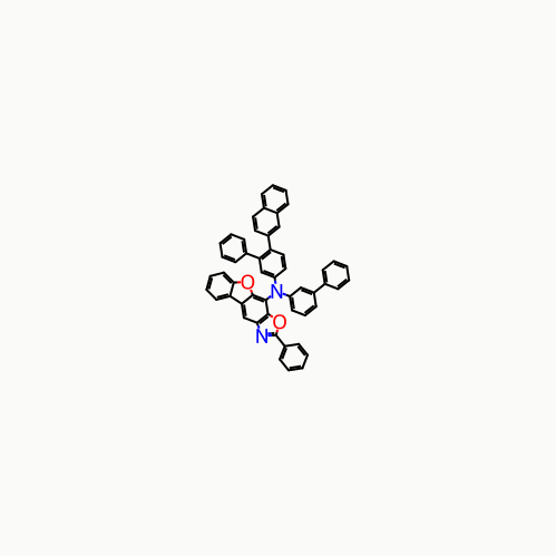 c1ccc(-c2cccc(N(c3ccc(-c4ccc5ccccc5c4)c(-c4ccccc4)c3)c3c4oc(-c5ccccc5)nc4cc4c3oc3ccccc34)c2)cc1